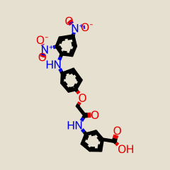 O=C(COc1ccc(Nc2ccc([N+](=O)[O-])cc2[N+](=O)[O-])cc1)Nc1cccc(C(=O)O)c1